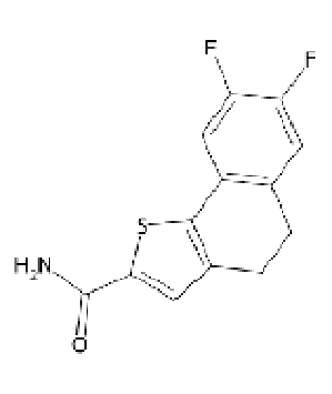 NC(=O)c1cc2c(s1)-c1cc(F)c(F)cc1CC2